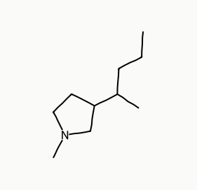 CCCC(C)C1CCN(C)C1